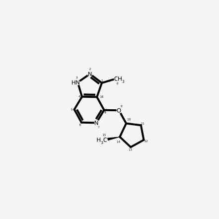 Cc1n[nH]c2ccnc(OC3CCC[C@H]3C)c12